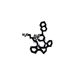 C=CCC/C=C/n1c2ccccc2c2ccc3c4ccccc4n(/C(C=C)=C/C(=C)C4=Cc5ccccc5CC4)c3c21